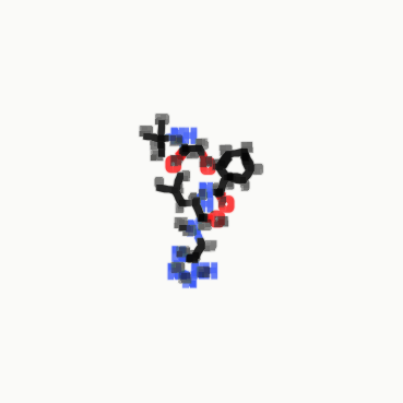 CC(C)C[C@@H](NC(=O)c1ccccc1OCC(=O)NC(C)(C)C)C(=O)N(C)Cc1nnn[nH]1